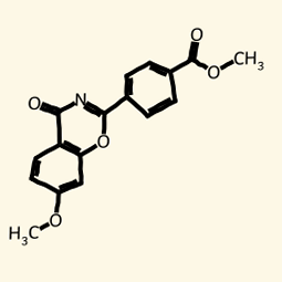 COC(=O)c1ccc(-c2nc(=O)c3ccc(OC)cc3o2)cc1